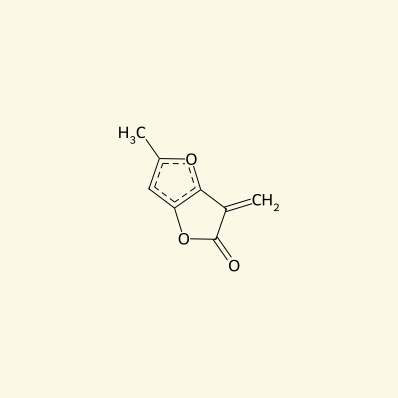 C=C1C(=O)Oc2cc(C)oc21